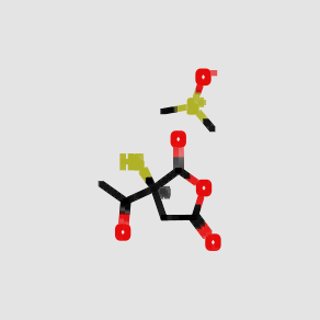 CC(=O)[C@@]1(S)CC(=O)OC1=O.C[S+](C)[O-]